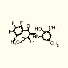 CCOC(=O)C(=CNc1cc(C)cc(C)c1O)C(=O)c1cc(F)c(F)c(F)c1F